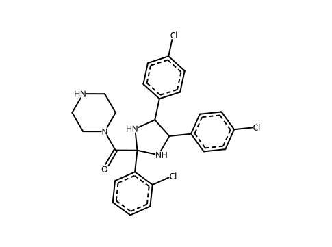 O=C(N1CCNCC1)C1(c2ccccc2Cl)NC(c2ccc(Cl)cc2)C(c2ccc(Cl)cc2)N1